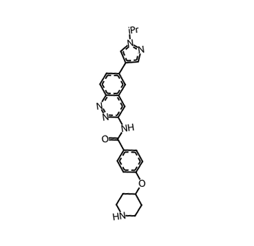 CC(C)n1cc(-c2ccc3nnc(NC(=O)c4ccc(OC5CCNCC5)cc4)cc3c2)cn1